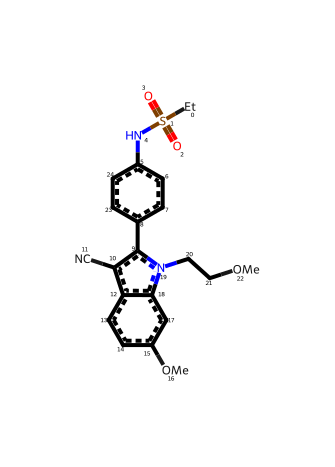 CCS(=O)(=O)Nc1ccc(-c2c(C#N)c3ccc(OC)cc3n2CCOC)cc1